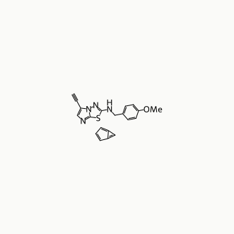 C#Cc1cnc2sc(NCc3ccc(OC)cc3)nn12.c1cc2cc-2c1